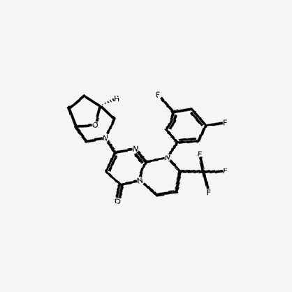 O=c1cc(N2CC3CC[C@@H](C2)O3)nc2n1CCC(C(F)(F)F)N2c1cc(F)cc(F)c1